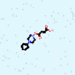 O=C(O)C=CC(=O)ON1CCN(c2ccccc2)CC1